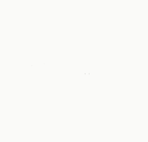 C=CCOc1cccc2c1CCCC2=O